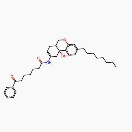 CCCCCCCCc1ccc2c(c1)OCC1CC=C(NC(=O)CCCCCC(=O)c3ccccc3)CC21O